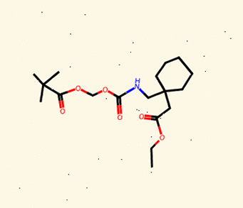 CCOC(=O)CC1(CNC(=O)OCOC(=O)C(C)(C)C)CCCCC1